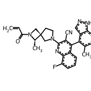 C=CC(=O)N1C[C@]2(CCN(c3nc4c(F)cccc4c(-c4c(C)ccc5[nH]ncc45)c3C#N)C2)[C@H]1C